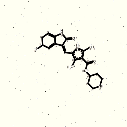 Cc1[nH]c(/C=C2\C(=O)NC3=CCC(F)C=C32)c(C)c1C(=O)NC1CCNCC1